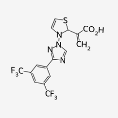 C=C(C(=O)O)C1SC=CN1n1cnc(-c2cc(C(F)(F)F)cc(C(F)(F)F)c2)n1